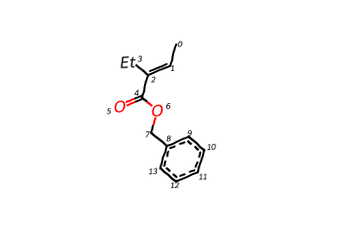 CC=C(CC)C(=O)OCc1ccccc1